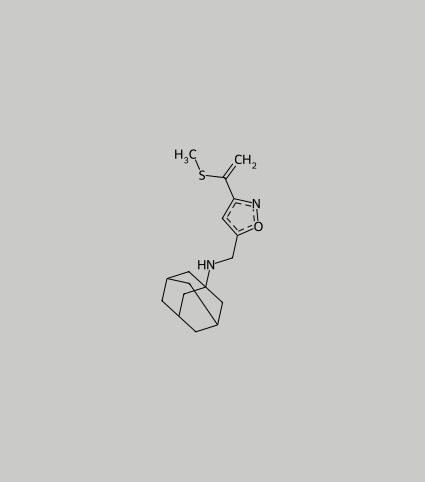 C=C(SC)c1cc(CNC23CC4CC(CC(C4)C2)C3)on1